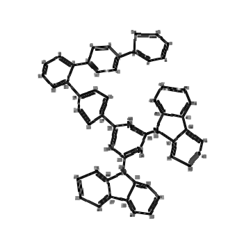 c1ccc(-c2ccc(-c3ccccc3-c3ccc(-c4nc(-n5c6ccccc6c6ccccc65)nc(-n5c6ccccc6c6ccccc65)n4)cc3)cc2)cc1